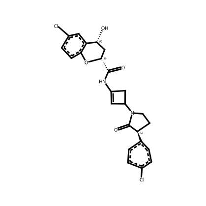 O=C(NC1=CC(N2CC[C@@H](c3ccc(Cl)cc3)C2=O)C1)[C@H]1C[C@@H](O)c2cc(Cl)ccc2O1